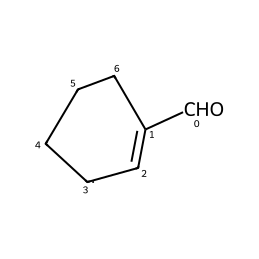 O=CC1=C[CH]CCC1